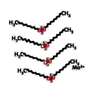 CCCCCCCCCCCCOP(=S)([S-])OCCCCCCCCCCCC.CCCCCCCCCCCCOP(=S)([S-])OCCCCCCCCCCCC.CCCCCCCCCCCCOP(=S)([S-])OCCCCCCCCCCCC.CCCCCCCCCCCCOP(=S)([S-])OCCCCCCCCCCCC.[Mo+4]